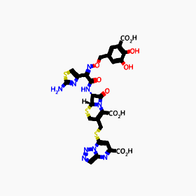 Nc1nc(/C(=N/OCc2cc(O)c(O)c(C(=O)O)c2)C(=O)N[C@@H]2C(=O)N3C(C(=O)O)=C(CSc4cc(C(=O)O)nc5cnnn45)CS[C@H]23)cs1